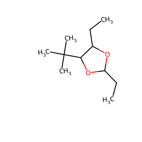 CCC1OC(CC)C(C(C)(C)C)O1